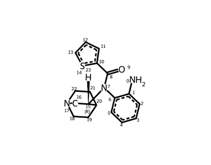 Nc1ccccc1N(C(=O)c1cccs1)[C@H]1CN2CCC1CC2